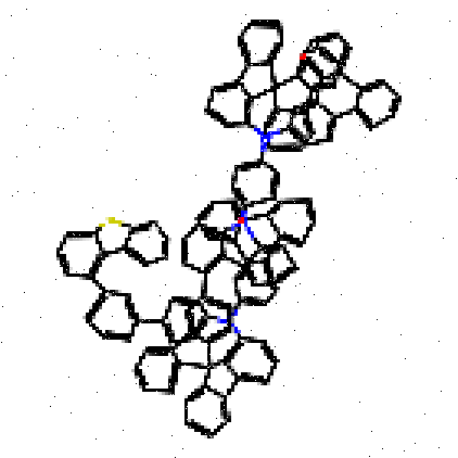 c1cc(-c2ccc(N(c3ccc4c5ccccc5c5ccccc5c4c3)c3cccc4c3C3(c5ccccc5-c5cc(-c6cccc7c6c6ccccc6n7-c6ccc(N(c7ccc8c9ccccc9c9ccccc9c8c7)c7cccc8c7C7(c9ccccc9-c9ccccc97)c7ccccc7-8)cc6)ccc53)c3ccccc3-4)cc2)cc(-c2cccc3sc4ccccc4c23)c1